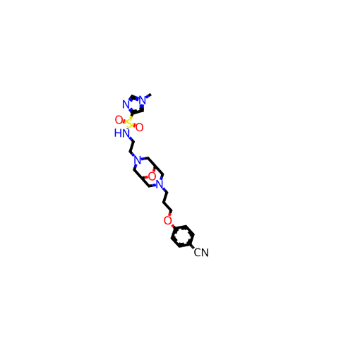 Cn1cnc(S(=O)(=O)NCCN2CC3CN(CCCOc4ccc(C#N)cc4)CC(C2)O3)c1